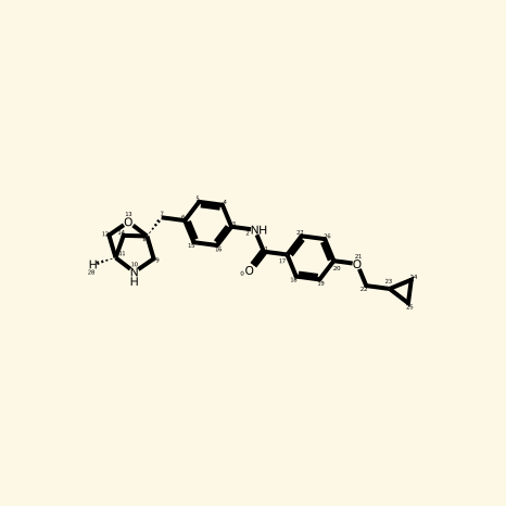 O=C(Nc1ccc(C[C@@]23CN[C@@H](CO2)C3)cc1)c1ccc(OCC2CC2)cc1